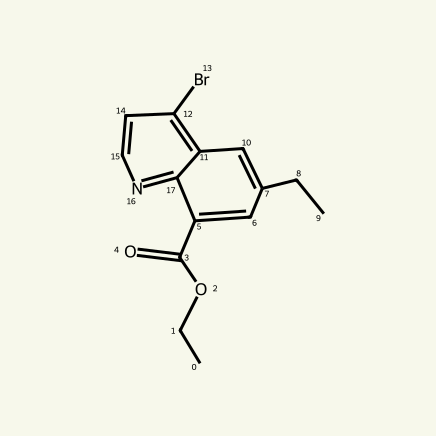 CCOC(=O)c1cc(CC)cc2c(Br)ccnc12